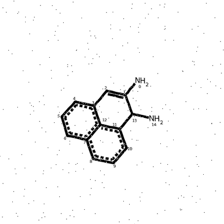 NC1=Cc2cccc3cccc(c23)C1N